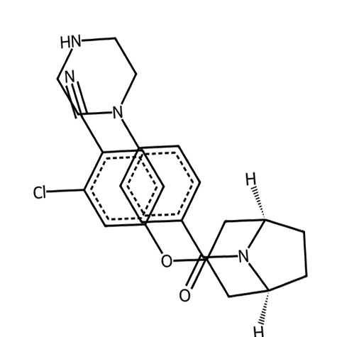 N#Cc1ccc(OC2C[C@H]3CC[C@@H](C2)N3C(=O)c2ccc(N3CCNCC3)cc2)cc1Cl